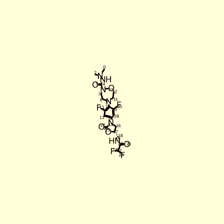 CN(C)NC(=O)N1CCN(c2c(F)cc(N3C[C@H](CNC(=O)C(F)F)OC3=O)cc2F)CCO1